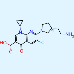 NCC[C@H]1CCN(c2nc3c(cc2F)c(=O)c(C(=O)O)cn3C2CC2)C1